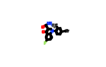 CC(C)c1ccc(-n2cc(C(N)=O)c(=O)c3cc(F)ccc32)c(C(F)(F)F)c1